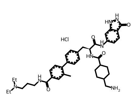 CCN(CC)CCCNC(=O)c1ccc(-c2ccc(C[C@H](NC(=O)C3CCC(CN)CC3)C(=O)Nc3ccc4c(=O)[nH][nH]c4c3)cc2)c(C)c1.Cl